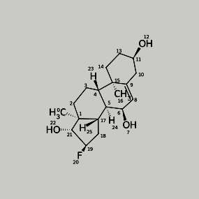 C[C@]12CC[C@H]3[C@@H]([C@H](O)C=C4C[C@H](O)CC[C@@]43C)[C@@H]1C[C@@H](F)[C@@H]2O